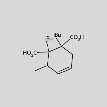 CCC(C)C1(C(=O)O)CC=CC(C)C1(C(=O)O)C(C)CC